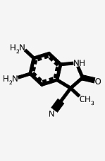 CC1(C#N)C(=O)Nc2cc(N)c(N)cc21